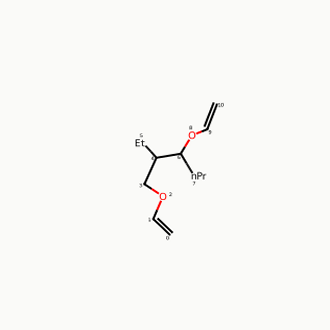 C=COCC(CC)C(CCC)OC=C